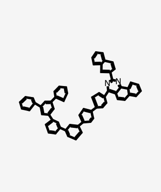 c1ccc(-c2cc(-c3ccccc3)cc(-c3cccc(-c4cccc(-c5ccc(-c6ccc(-c7nc(-c8ccc9ccccc9c8)nc8c7ccc7ccccc78)cc6)cc5)c4)c3)c2)cc1